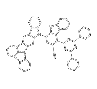 N#Cc1cc(-n2c3ccccc3c3cc4c5cccc6c7ccccc7n(c4cc32)c65)c2oc3ccccc3c2c1-c1nc(-c2ccccc2)nc(-c2ccccc2)n1